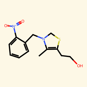 CC1=C(CCO)SCN1Cc1ccccc1[N+](=O)[O-]